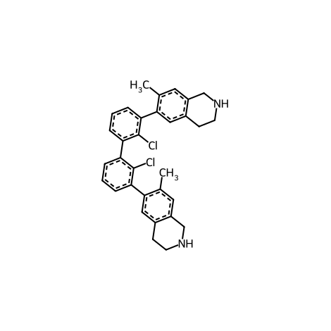 Cc1cc2c(cc1-c1cccc(-c3cccc(-c4cc5c(cc4C)CNCC5)c3Cl)c1Cl)CCNC2